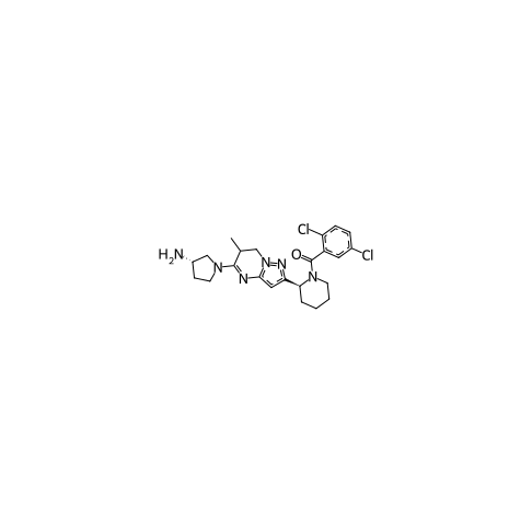 CC1Cn2nc([C@@H]3CCCCN3C(=O)c3cc(Cl)ccc3Cl)cc2N=C1N1CC[C@H](N)C1